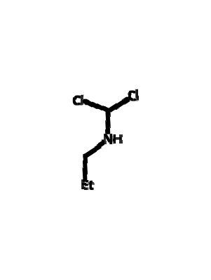 CCCNC(Cl)Cl